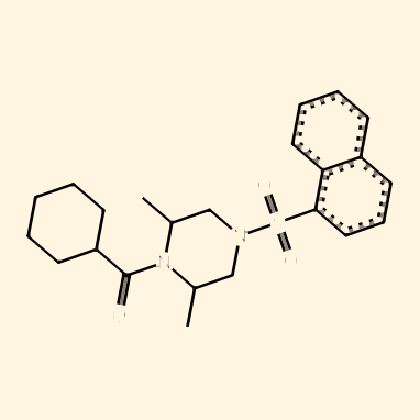 CC1CN(S(=O)(=O)c2cccc3ccccc23)CC(C)N1C(=O)C1CCCCC1